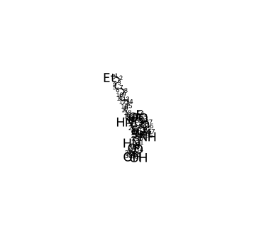 CC/C=C\C/C=C\C/C=C\C/C=C\C/C=C\C/C=C\CCC(=O)NCCSSC(C)(C)[C@@H](CNC(=O)OC(CO)CO)NC(=O)C1(c2ccc3c(c2)OC(F)(F)O3)CC1